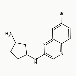 NC1CCC(Nc2cnc3ccc(Br)cc3n2)C1